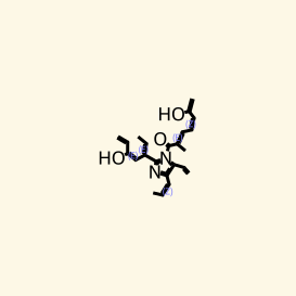 C=C/C(O)=C\C(=C/C)c1nc(/C=C\C)c(C=C)n1C(=O)/C(C)=C/C=C\C(=C)O